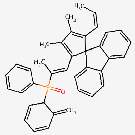 C=C1C=CC=CC1P(=O)(/C(C)=C/C1=C(C)C(C)=C(/C=C\C)C12c1ccccc1-c1ccccc12)c1ccccc1